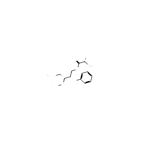 CCCO[C@@H](COC)[C@@H](Oc1ccccc1)[C@H](C)OC(=O)[C@@H](C)N